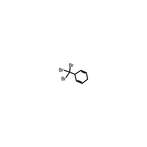 BrC(Br)(Br)C1C=CCC=C1